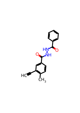 C#Cc1cc(C(=O)NNC(=O)c2ccccc2)ccc1C